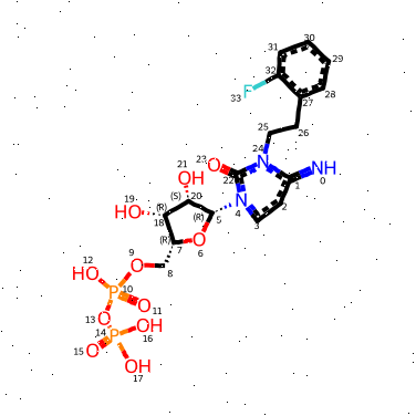 N=c1ccn([C@@H]2O[C@H](COP(=O)(O)OP(=O)(O)O)[C@H](O)[C@@H]2O)c(=O)n1CCc1ccccc1F